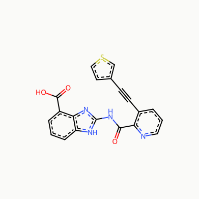 O=C(Nc1nc2c(C(=O)O)cccc2[nH]1)c1ncccc1C#Cc1ccsc1